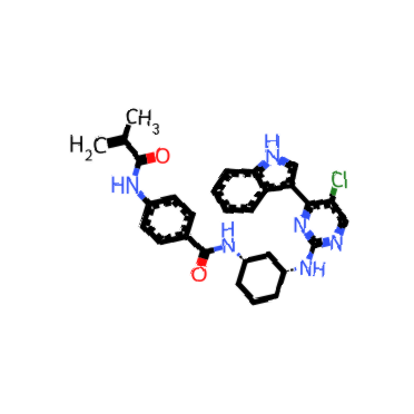 C=C(C)C(=O)Nc1ccc(C(=O)N[C@H]2CCC[C@@H](Nc3ncc(Cl)c(-c4c[nH]c5ccccc45)n3)C2)cc1